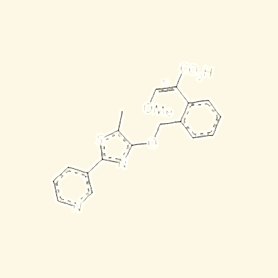 CO/C=C(/C(=O)O)c1ccccc1COc1nc(-c2cccnc2)sc1C